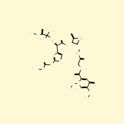 CCCCOc1cn(OCCCC)c(C(=O)NCC(=O)NC[C@H]2NC(=O)[C@H]2NC(=O)/C(=N\OC(C)(C)C(=O)OC(C)(C)C)c2csc(NC(=O)OC(C)(C)C)n2)cc1=O